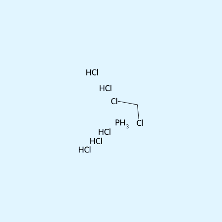 Cl.Cl.Cl.Cl.Cl.ClCCl.P